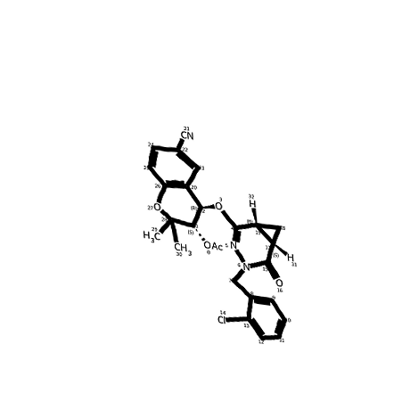 CC(=O)O[C@H]1[C@H](OC2=NN(Cc3ccccc3Cl)C(=O)[C@H]3C[C@@H]23)c2cc(C#N)ccc2OC1(C)C